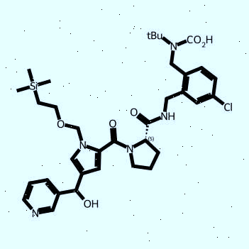 CC(C)(C)N(Cc1ccc(Cl)cc1CNC(=O)[C@@H]1CCCN1C(=O)c1cc(C(O)c2cccnc2)cn1COCC[Si](C)(C)C)C(=O)O